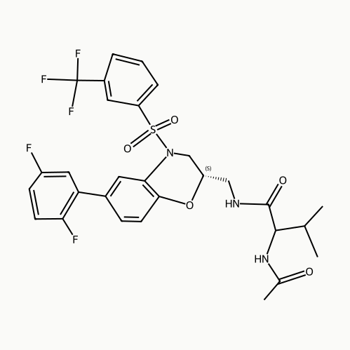 CC(=O)NC(C(=O)NC[C@H]1CN(S(=O)(=O)c2cccc(C(F)(F)F)c2)c2cc(-c3cc(F)ccc3F)ccc2O1)C(C)C